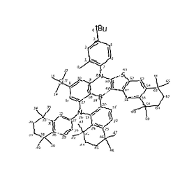 Cc1cc(C(C)(C)C)ccc1N1c2cc([Si](C)(C)C)cc3c2B(c2ccc4c(c2N3c2ccc3c(c2)C(C)(C)CCC3(C)C)C(C)(C)CCC4(C)C)c2c1sc1cc3c(cc21)C(C)(C)CCC3(C)C